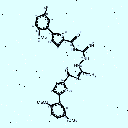 COc1ccc(OC)c(-c2ccc(C(=O)N=C(N)NNC(=N)NC(=O)c3ccc(-c4cc(Br)ccc4OC)o3)o2)c1